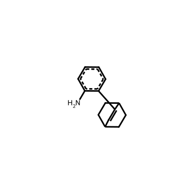 Nc1ccccc1C1=CC2CCC1CC2